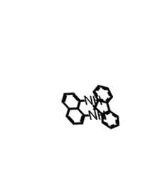 C1=CC2C=CC=C3NC4(NC(=C1)C32)c1ccccc1-c1ccccc14